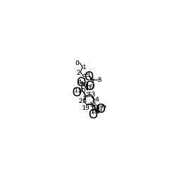 CCCCON(OC(C)=O)C(=O)c1ccc([N+](=O)[O-])cc1